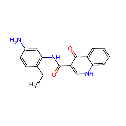 CCc1ccc(N)cc1NC(=O)c1c[nH]c2ccccc2c1=O